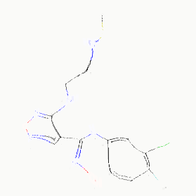 CSNCCNc1nonc1/C(=N/O)Nc1ccc(F)c(Cl)c1